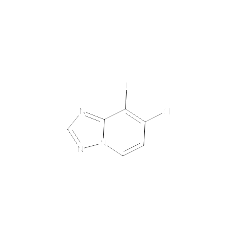 Clc1ccn2ncnc2c1I